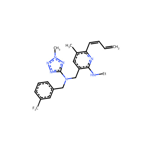 C=C/C=C\c1nc(NCC)c(CN(Cc2cccc(C(F)(F)F)c2)c2nnn(C)n2)cc1C